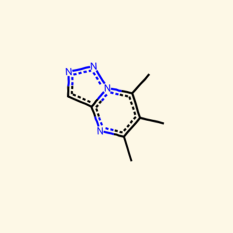 Cc1nc2cnnn2c(C)c1C